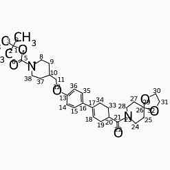 CC(C)(C)OC(=O)N1CCC(COc2ccc(C3=CCC(C(=O)N4CCC5(CC4)OCCO5)CC3)cc2)CC1